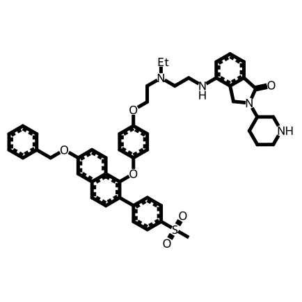 CCN(CCNc1cccc2c1CN(C1CCCNC1)C2=O)CCOc1ccc(Oc2c(-c3ccc(S(C)(=O)=O)cc3)ccc3cc(OCc4ccccc4)ccc23)cc1